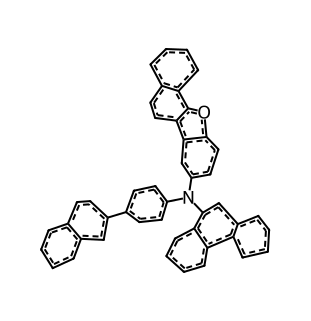 c1ccc2cc(-c3ccc(N(c4ccc5oc6c7ccccc7ccc6c5c4)c4cc5ccccc5c5ccccc45)cc3)ccc2c1